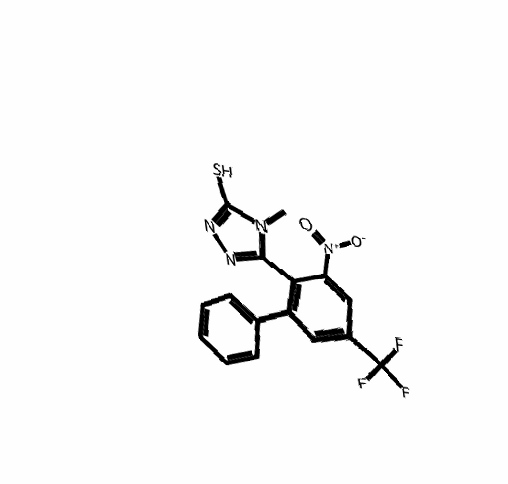 Cn1c(S)nnc1-c1c(-c2ccccc2)cc(C(F)(F)F)cc1[N+](=O)[O-]